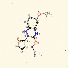 CCOc1nc2cc(OC)ccc2nc1-c1cccs1